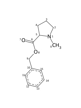 CN1CCCC1C(=O)OCc1ccccc1